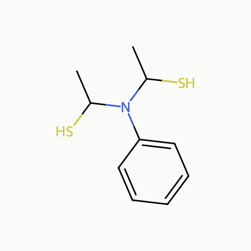 CC(S)N(c1ccccc1)C(C)S